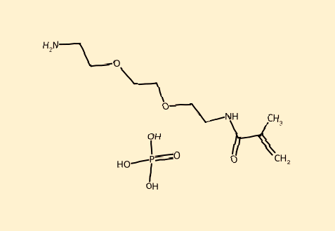 C=C(C)C(=O)NCCOCCOCCN.O=P(O)(O)O